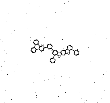 c1ccc(-c2cccc3c2oc2cc4oc5c(-c6ccccc6)cc(-c6cccc(-c7cnc8c9ccccc9c9ccccc9c8n7)c6)cc5c4cc23)cc1